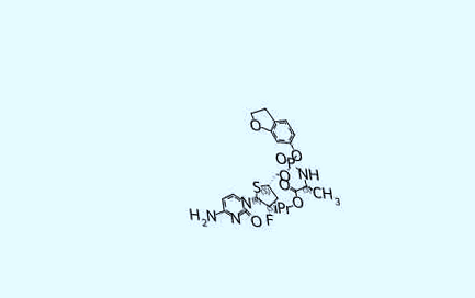 CC(C)OC(=O)[C@H](C)NP(=O)(OC[C@@H]1C[C@H](F)[C@H](n2ccc(N)nc2=O)S1)Oc1ccc2c(c1)OCC2